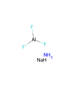 N.[F][Al]([F])[F].[NaH]